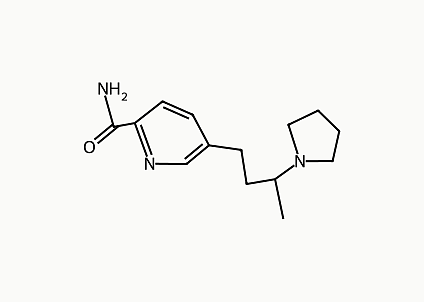 CC(CCc1ccc(C(N)=O)nc1)N1CCCC1